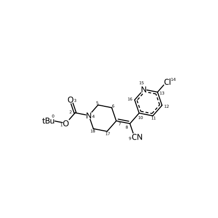 CC(C)(C)OC(=O)N1CCC(=C(C#N)c2ccc(Cl)nc2)CC1